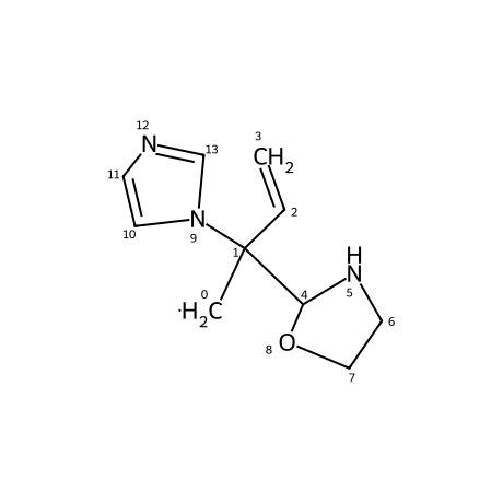 [CH2]C(C=C)(C1NCCO1)n1ccnc1